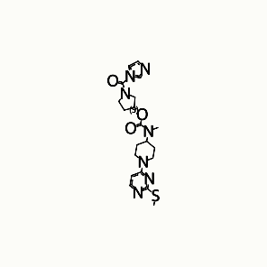 CSc1nccc(N2CCC(N(C)C(=O)O[C@H]3CCN(C(=O)n4ccnc4)C3)CC2)n1